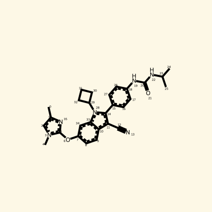 Cc1cn(C)c(Oc2ccc3c(C#N)c(-c4ccc(NC(=O)NC(C)C)cc4)n(C4CCC4)c3c2)n1